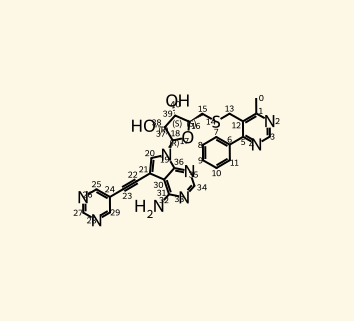 Cc1ncnc(-c2ccccc2)c1CSC[C@H]1O[C@@H](n2cc(C#Cc3cncnc3)c3c(N)ncnc32)[C@H](O)[C@@H]1O